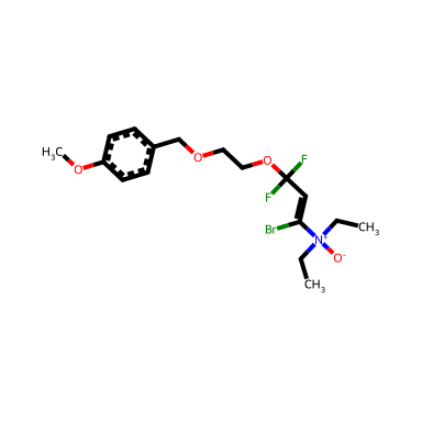 CC[N+]([O-])(CC)/C(Br)=C/C(F)(F)OCCOCc1ccc(OC)cc1